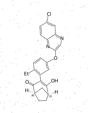 CCc1ccc(Oc2cnc3cc(Cl)ccc3n2)cc1C1=C(O)[C@H]2CC[C@H](C2)C1=O